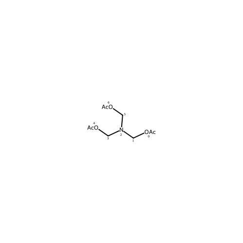 CC(=O)OCN(COC(C)=O)COC(C)=O